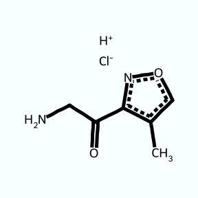 Cc1conc1C(=O)CN.[Cl-].[H+]